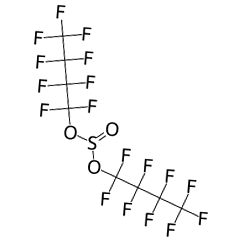 O=S(OC(F)(F)C(F)(F)C(F)(F)C(F)(F)F)OC(F)(F)C(F)(F)C(F)(F)C(F)(F)F